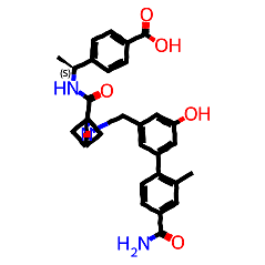 Cc1cc(C(N)=O)ccc1-c1cc(O)cc(CN2CC3CC2(C(=O)N[C@@H](C)c2ccc(C(=O)O)cc2)C3)c1